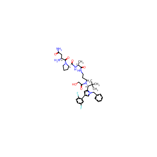 C[C@H](NC(=O)[C@@H]1CCCN1C(=O)[C@@H](N)CC(N)=O)C(=O)NCCCN(C(=O)CO)[C@@H](c1cc(-c2cc(F)ccc2F)cn1Cc1ccccc1)C(C)(C)C